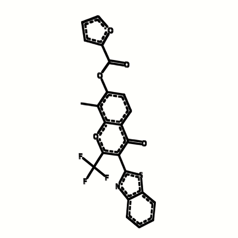 Cc1c(OC(=O)c2ccco2)ccc2c(=O)c(-c3nc4ccccc4s3)c(C(F)(F)F)oc12